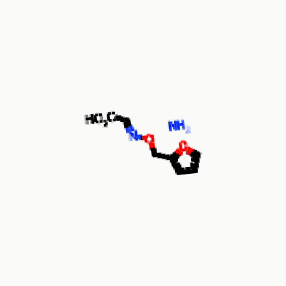 N.O=C(O)C=NOCc1ccco1